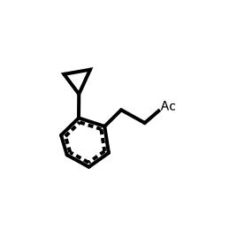 CC(=O)CCc1ccccc1C1CC1